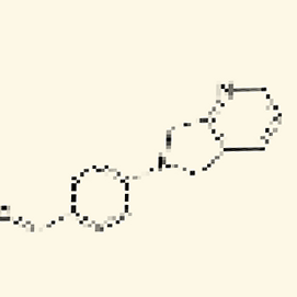 O=Cc1ccc(N2Cc3cccnc3C2)cc1